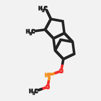 COPOC1CC2CC1C1C(C)C(C)CC21